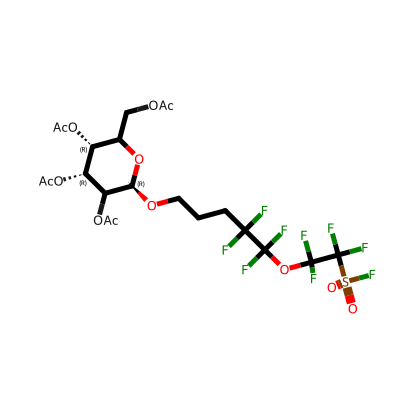 CC(=O)OCC1O[C@@H](OCCCC(F)(F)C(F)(F)OC(F)(F)C(F)(F)S(=O)(=O)F)C(OC(C)=O)[C@H](OC(C)=O)[C@@H]1OC(C)=O